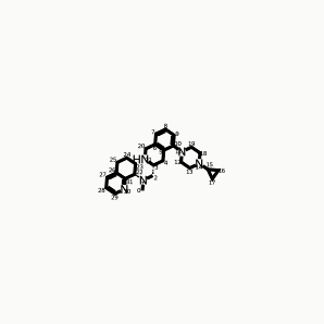 CN(C[C@H]1Cc2c(cccc2N2CCN(C3CC3)CC2)CN1)[C@H]1CCCc2cccnc21